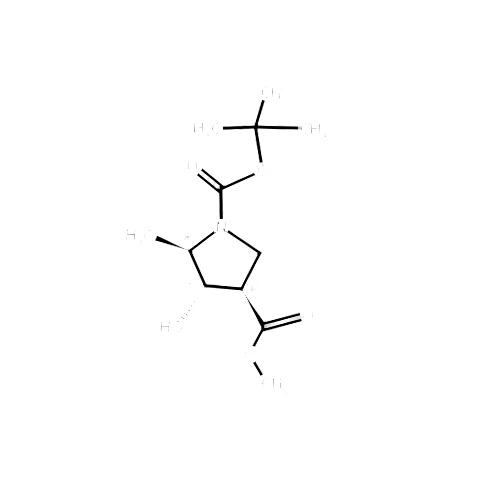 COC(=O)[C@@H]1CN(C(=O)OC(C)(C)C)[C@H](C)[C@H]1O